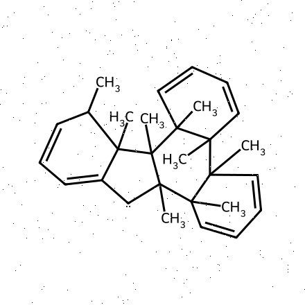 CC1C=CC=C2[C]C3(C)C4(C)C=CC=CC4(C)C4(C)C=CC=CC4(C)C3(C)C21C